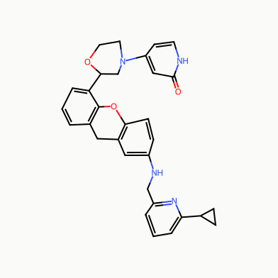 O=c1cc(N2CCOC(c3cccc4c3Oc3ccc(NCc5cccc(C6CC6)n5)cc3C4)C2)cc[nH]1